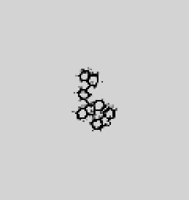 C1=CC2Oc3cccc(C4C5C=CCCC5C(C5C=C(C6CCCC7=C6CCC=C7)C=CC5)C5CC=CCC54)c3C2C=C1